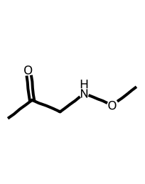 CONCC(C)=O